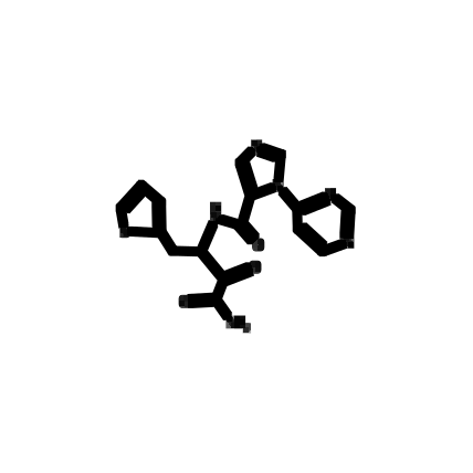 NC(=O)C(=O)C(Cc1cccs1)NC(=O)c1cncn1-c1ccncn1